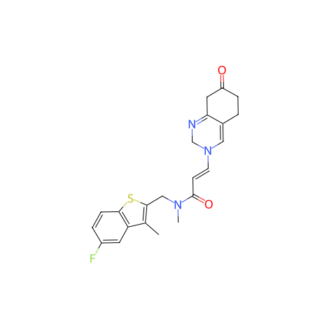 Cc1c(CN(C)C(=O)C=CN2C=C3CCC(=O)CC3=NC2)sc2ccc(F)cc12